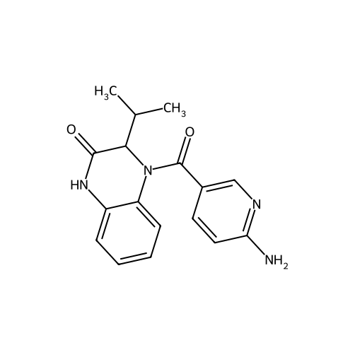 CC(C)C1C(=O)Nc2ccccc2N1C(=O)c1ccc(N)nc1